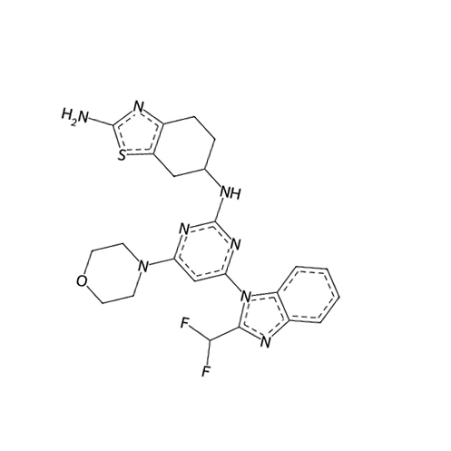 Nc1nc2c(s1)CC(Nc1nc(N3CCOCC3)cc(-n3c(C(F)F)nc4ccccc43)n1)CC2